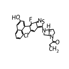 C=CC(=O)N1CC[C@H]2C1CN2c1snc2c(F)c(-c3cc(O)cc4ccccc34)c(Cl)cc12